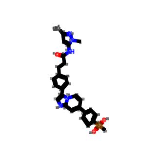 Cn1nc(C(C)(C)C)cc1NC(=O)CCc1ccc(-c2cnc3cc(-c4ccc(S(C)(=O)=O)cc4)ccn23)cc1